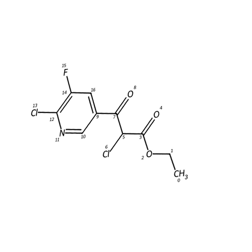 CCOC(=O)C(Cl)C(=O)c1cnc(Cl)c(F)c1